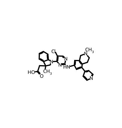 CN1CCc2c(cc(Nc3ncc(Cl)c(N4CC(C)(CC(=O)O)c5ccccc54)n3)cc2-c2ccncc2)C1